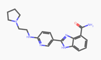 NC(=O)c1cccc2[nH]c(-c3ccc(NCCN4CCCC4)nc3)nc12